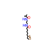 C=C(C)C(=O)NCCCNC(=O)CCCCCC1CCSS1